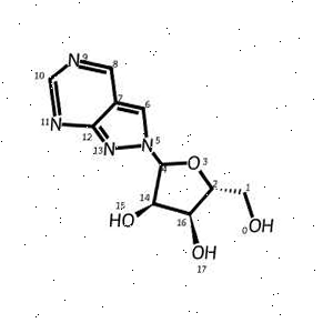 OC[C@H]1OC(n2cc3cncnc3n2)[C@H](O)[C@@H]1O